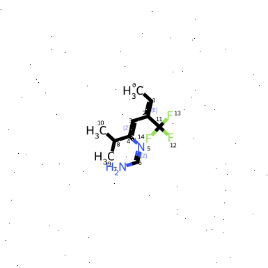 C\C=C(/C=C(\N=C/N)C(C)C)C(F)(F)F